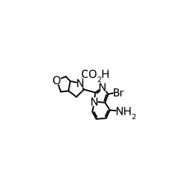 Nc1cccn2c(C3CC4COCC4N3C(=O)O)nc(Br)c12